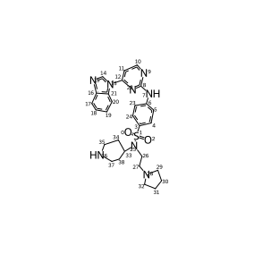 O=S(=O)(c1ccc(Nc2nccc(-n3cnc4ccccc43)n2)cc1)N(CCN1CCCC1)C1CCNCC1